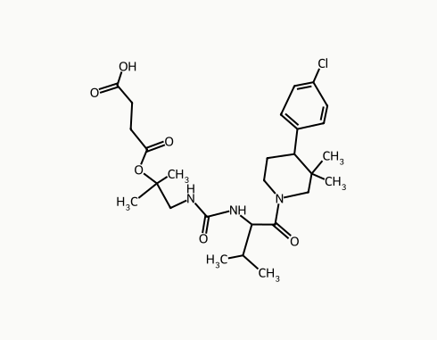 CC(C)C(NC(=O)NCC(C)(C)OC(=O)CCC(=O)O)C(=O)N1CCC(c2ccc(Cl)cc2)C(C)(C)C1